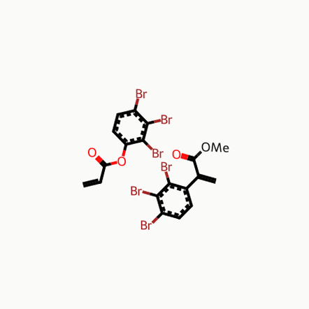 C=C(C(=O)OC)c1ccc(Br)c(Br)c1Br.C=CC(=O)Oc1ccc(Br)c(Br)c1Br